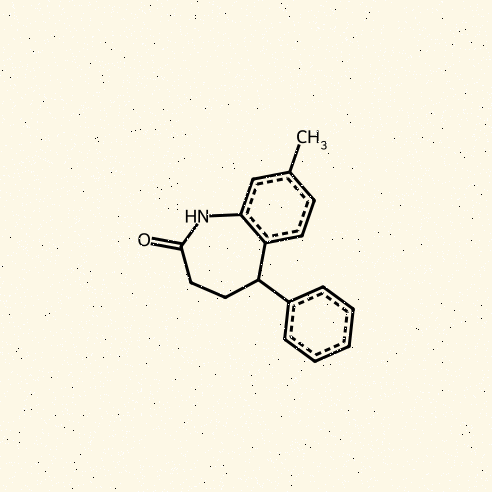 Cc1ccc2c(c1)NC(=O)CCC2c1ccccc1